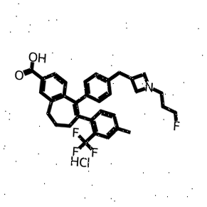 Cc1ccc(C2=C(c3ccc(CC4CN(CCCF)C4)cc3)c3ccc(C(=O)O)cc3CCC2)c(C(F)(F)F)c1.Cl